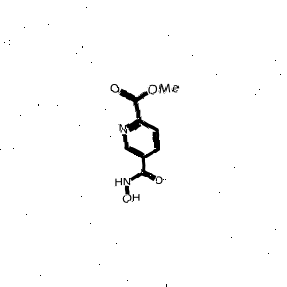 COC(=O)c1ccc(C(=O)NO)cn1